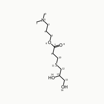 CN(C)CCCOC(=O)CCSCC(O)CO